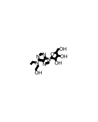 CCN(CCO)c1ncnc2c1ncn2C1OC(CO)C(O)C1O